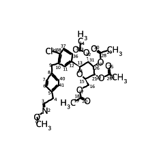 CO/N=C/Cc1ccc(Cc2cc([C@@H]3O[C@H](COC(C)=O)[C@@H](OC(C)=O)[C@H](OC(C)=O)[C@H]3OC(C)=O)ccc2Cl)cc1